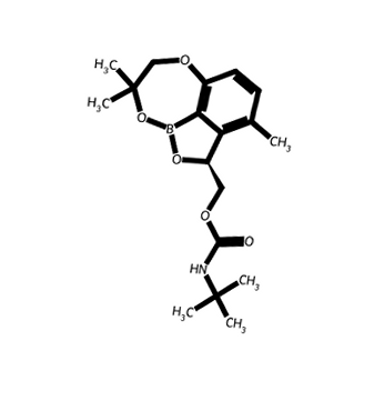 Cc1ccc2c3c1[C@@H](COC(=O)NC(C)(C)C)OB3OC(C)(C)CO2